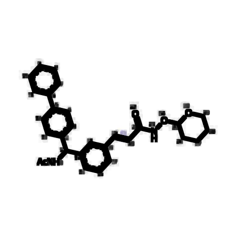 CC(=O)NC(c1ccc(-c2ccccc2)cc1)c1cccc(/C=C/C(=O)NOC2CCCCO2)c1